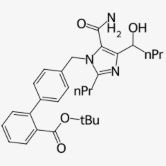 CCCc1nc(C(O)CCC)c(C(N)=O)n1Cc1ccc(-c2ccccc2C(=O)OC(C)(C)C)cc1